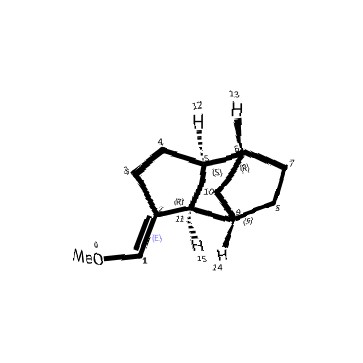 CO/C=C1\CC[C@H]2[C@@H]3CC[C@@H](C3)[C@@H]12